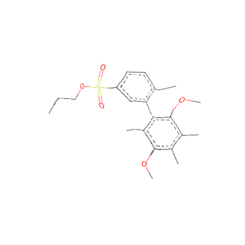 CCCOS(=O)(=O)c1ccc(C)c(-c2c(C)c(OC)c(C)c(C)c2OC)c1